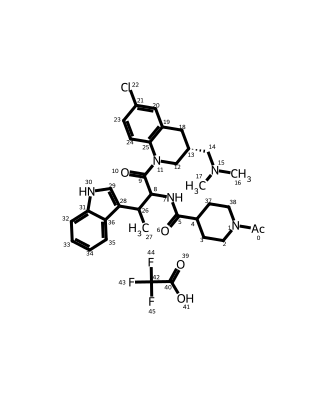 CC(=O)N1CCC(C(=O)NC(C(=O)N2C[C@@H](CN(C)C)Cc3cc(Cl)ccc32)C(C)c2c[nH]c3ccccc23)CC1.O=C(O)C(F)(F)F